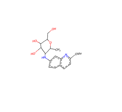 COc1ccc2ccc(NC3C(C)OC(CO)C(O)C3O)cc2n1